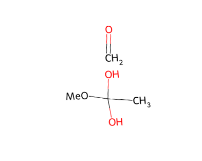 C=O.COC(C)(O)O